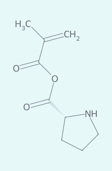 C=C(C)C(=O)OC(=O)[C@H]1CCCN1